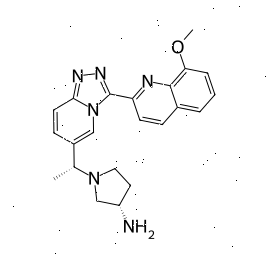 COc1cccc2ccc(-c3nnc4ccc([C@@H](C)N5CC[C@H](N)C5)cn34)nc12